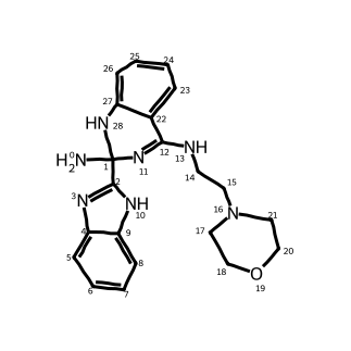 NC1(c2nc3ccccc3[nH]2)N=C(NCCN2CCOCC2)c2ccccc2N1